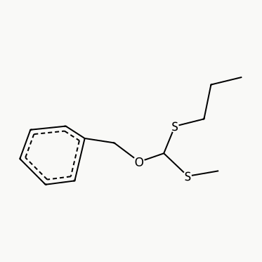 CCCSC(OCc1ccccc1)SC